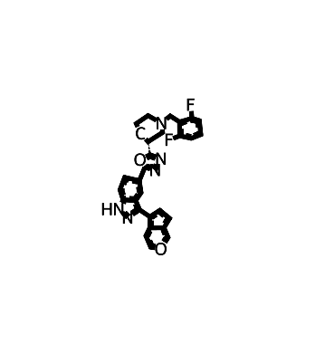 Fc1cccc(F)c1CN1CCC[C@@H](c2nnc(-c3ccc4[nH]nc(-c5ccc6coccc5-6)c4c3)o2)C1